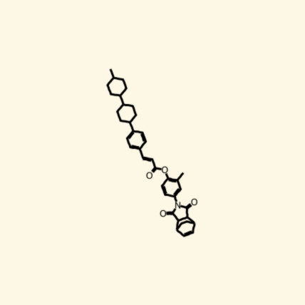 Cc1cc(N2C(=O)C3C4C=CC(CC4)C3C2=O)ccc1OC(=O)/C=C/c1ccc(C2CCC(C3CCC(C)CC3)CC2)cc1